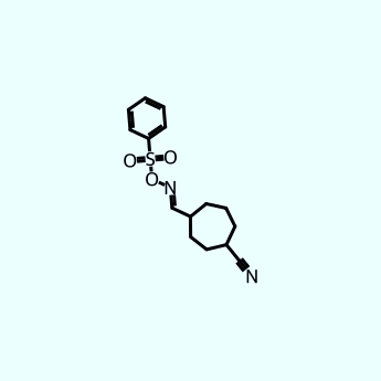 N#CC1CCCC(/C=N/OS(=O)(=O)c2ccccc2)CC1